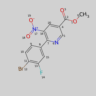 COC(=O)c1cnc(-c2ccc(Br)c(F)c2)c([N+](=O)[O-])c1